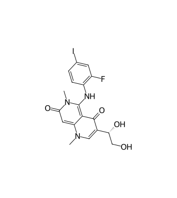 Cn1c(Nc2ccc(I)cc2F)c2c(=O)c([C@H](O)CO)cn(C)c2cc1=O